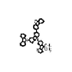 CC1(C)c2ccc(-n3c4ccc(-c5ccc6oc7ccccc7c6c5)cc4c4cc(-n5c6ccccc6c6ccccc65)ccc43)cc2-c2ncccc21